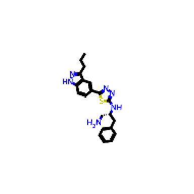 CCCc1n[nH]c2ccc(-c3nnc(N[C@@H](CN)Cc4ccccc4)s3)cc12